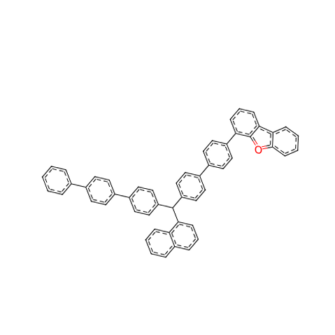 c1ccc(-c2ccc(-c3ccc(C(c4ccc(-c5ccc(-c6cccc7c6oc6ccccc67)cc5)cc4)c4cccc5ccccc45)cc3)cc2)cc1